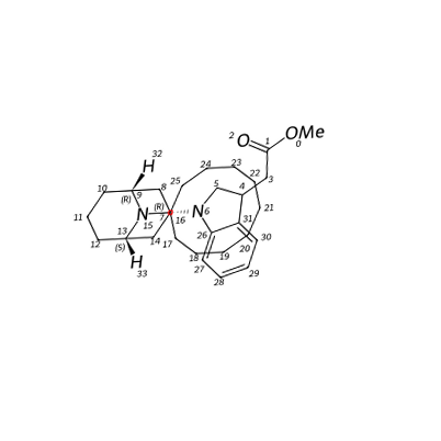 COC(=O)CC1CN([C@H]2C[C@H]3CCC[C@@H](C2)N3C2CCCCCCCCC2)c2ccccc21